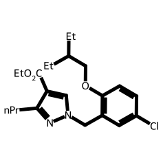 CCCc1nn(Cc2cc(Cl)ccc2OCC(CC)CC)cc1C(=O)OCC